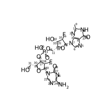 Cc1nc2c(ncn2[C@@H]2O[C@H](COP(=O)(O)O[C@@H]3C(F)[C@H](n4cnc(N)nc4=O)O[C@@H]3CO)[C@H](O)C2F)c(=O)[nH]1